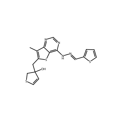 Cc1c(CC2(O)C=CSC2)sc2c(NN=Cc3cccs3)ncnc12